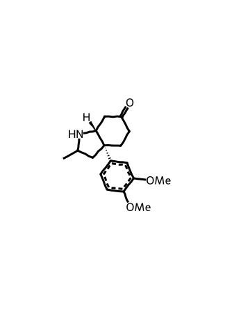 COc1ccc([C@@]23CCC(=O)C[C@H]2NC(C)C3)cc1OC